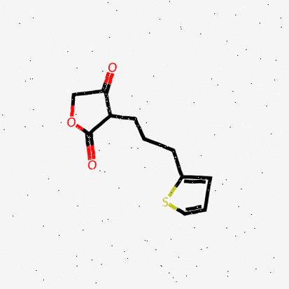 O=C1COC(=O)C1CCCc1cccs1